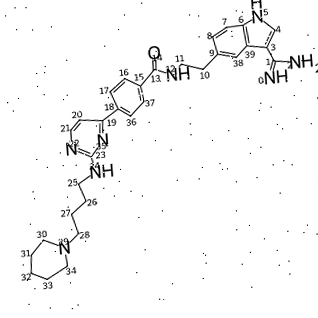 N=C(N)c1c[nH]c2ccc(CCNC(=O)c3ccc(-c4ccnc(NCCCCN5CCCCC5)n4)cc3)cc12